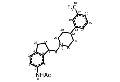 CC(=O)Nc1ccc2c(c1)C(CN1CCC(c3cccc(C(F)(F)F)c3)CC1)CC2